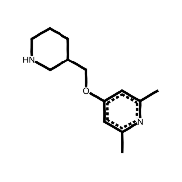 Cc1cc(OCC2CCCNC2)cc(C)n1